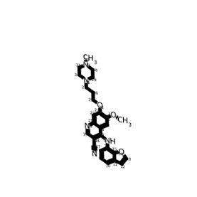 COc1cc2c(Nc3cccc4ccoc34)c(C#N)cnc2cc1OCCCN1CCN(C)CC1